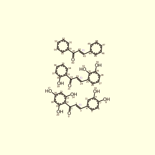 O=C(/C=C/c1ccc(O)c(O)c1)c1c(O)cc(O)cc1O.O=C(/C=C/c1cccc(O)c1O)c1ccccc1O.O=C(/C=C/c1ccccc1)c1ccccc1